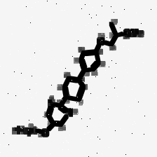 CCCCCCCOc1cnc(-c2ccc(-c3ccc(OC[C@@H](C)OC)cc3)cc2)nc1